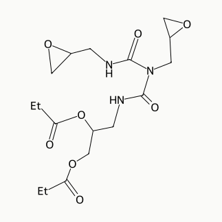 CCC(=O)OCC(CNC(=O)N(CC1CO1)C(=O)NCC1CO1)OC(=O)CC